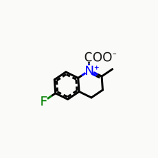 CC1=[N+](C(=O)[O-])c2ccc(F)cc2CC1